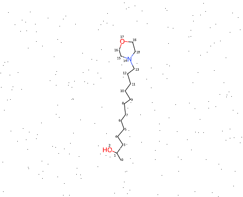 CC(O)CCCCCCCCCCCN1CCOCC1